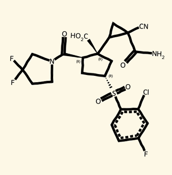 N#CC1(C(N)=O)CC1[C@]1(C(=O)O)C[C@H](S(=O)(=O)c2ccc(F)cc2Cl)C[C@H]1C(=O)N1CCC(F)(F)C1